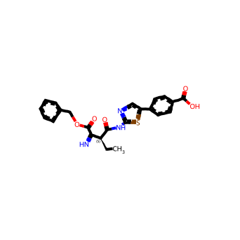 CC[C@@H](C(=N)C(=O)OCc1ccccc1)C(=O)Nc1ncc(-c2ccc(C(=O)O)cc2)s1